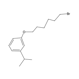 CC(C)c1cccc(OCCCCCCBr)c1